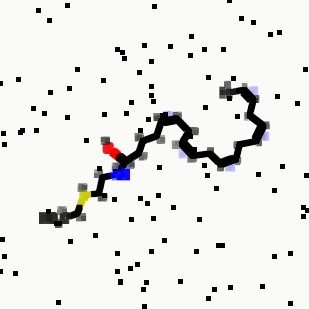 CC/C=C\C/C=C\C/C=C\C/C=C\C/C=C\CCCC(=O)NCCSCC(=O)O